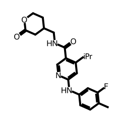 Cc1ccc(Nc2cc(C(C)C)c(C(=O)NCC3CCOC(=O)C3)cn2)cc1F